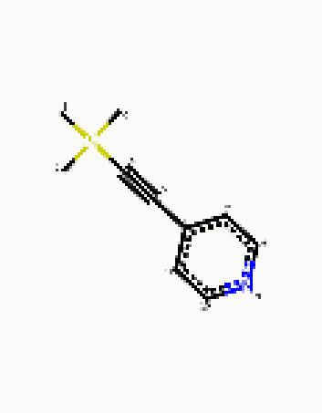 CS(C)(C)C#Cc1ccncc1